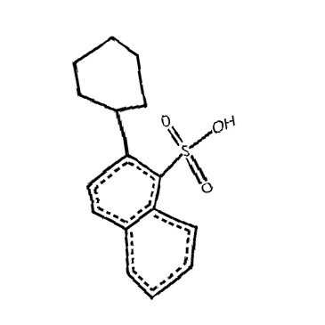 O=S(=O)(O)c1c(C2CCCCC2)ccc2ccccc12